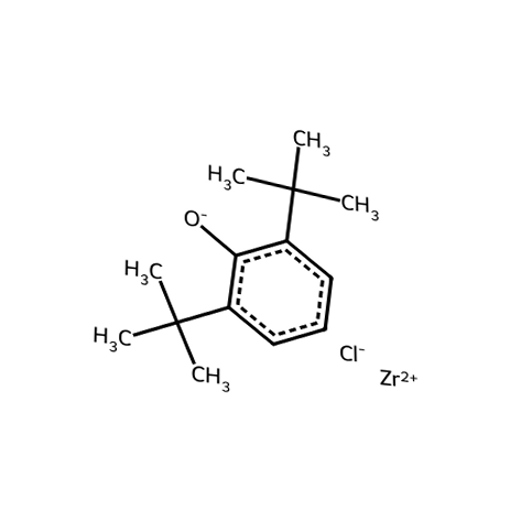 CC(C)(C)c1cccc(C(C)(C)C)c1[O-].[Cl-].[Zr+2]